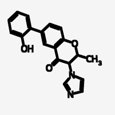 CC1Oc2ccc(-c3ccccc3O)cc2C(=O)C1n1ccnc1